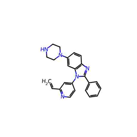 C=Cc1cc(-n2c(-c3ccccc3)nc3ccc(N4CCNCC4)cc32)ccn1